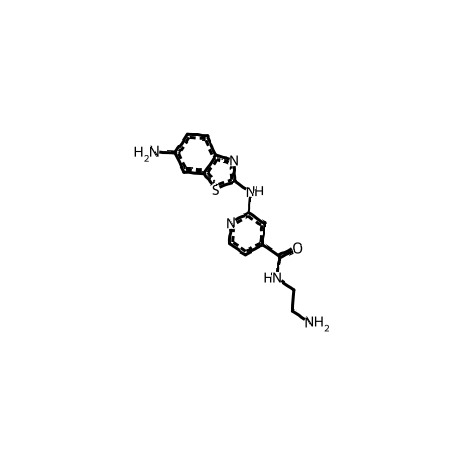 NCCNC(=O)c1ccnc(Nc2nc3ccc(N)cc3s2)c1